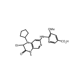 CCC1C(=O)N(C)c2cnc(Nc3ncc(C(=O)O)cc3OC)cc2N1C1CCCC1